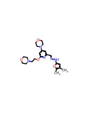 Cc1cc(NN=Cc2cc(N3CCOCC3)cc(OCCN3CCOCC3)n2)oc1C